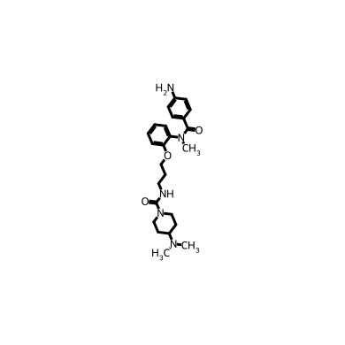 CN(C(=O)c1ccc(N)cc1)c1ccccc1OCCCNC(=O)N1CCC(N(C)C)CC1